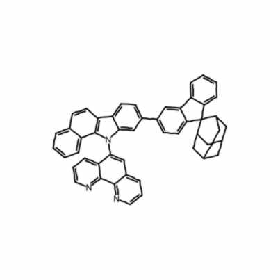 c1ccc2c(c1)-c1cc(-c3ccc4c5ccc6ccccc6c5n(-c5cc6cccnc6c6ncccc56)c4c3)ccc1C21C2CC3CC(C2)CC1C3